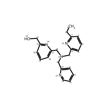 CCc1cccc(CN(Cc2ccccn2)Cc2cccc(CO)n2)n1